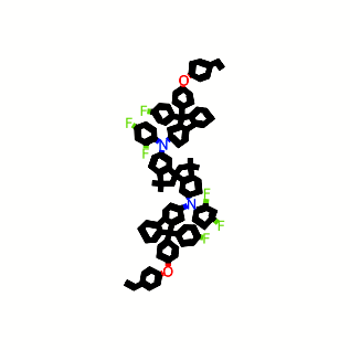 C=Cc1ccc(Oc2ccc(C3(c4ccc(F)cc4)c4ccccc4-c4ccc(N(c5ccc6c(c5)C5(CC6(C)C)CC(C)(C)c6ccc(N(c7ccc8c(c7)C(c7ccc(F)cc7)(c7ccc(Oc9ccc(C=C)cc9)cc7)c7ccccc7-8)c7ccc(F)cc7F)cc65)c5ccc(F)cc5F)cc43)cc2)cc1